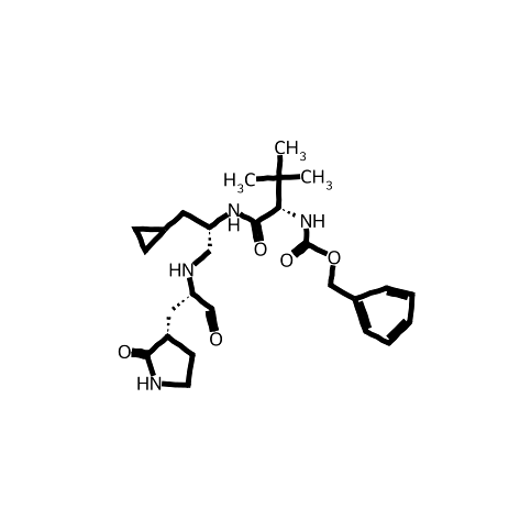 CC(C)(C)[C@H](NC(=O)OCc1ccccc1)C(=O)N[C@H](CN[C@H](C=O)C[C@@H]1CCNC1=O)CC1CC1